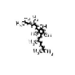 CC(C)=CCCC(C)=CCc1c(O)[c]c(O)c(CC=C(C)CCC=C(C)C)c1O